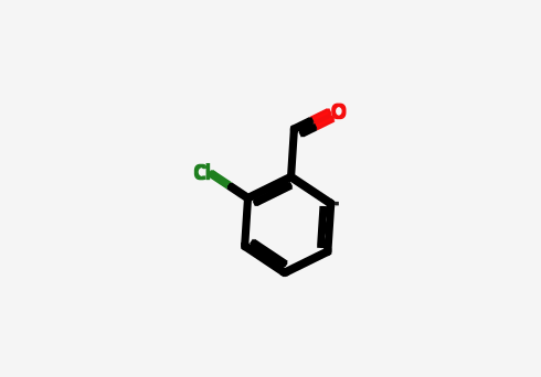 O=Cc1[c]cccc1Cl